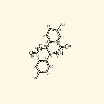 Cc1ccc(-c2[nH]c(=O)c3cc(C)ccc3c2NC=O)cc1